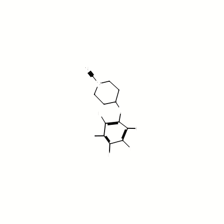 N#CN1CCC(Oc2c(F)c(F)c(F)c(F)c2F)CC1